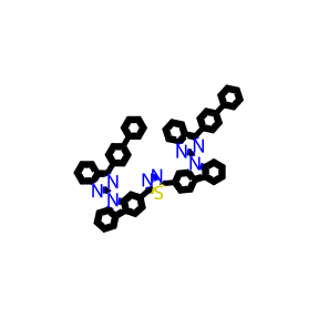 c1ccc(-c2ccc(-c3nc(-n4c5ccccc5c5ccc(-c6nnc(-c7ccc8c9ccccc9n(-c9nc(-c%10ccc(-c%11ccccc%11)cc%10)c%10ccccc%10n9)c8c7)s6)cc54)nc4ccccc34)cc2)cc1